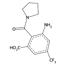 Nc1cc(C(F)(F)F)cc(C(=O)O)c1C(=O)N1CCCC1